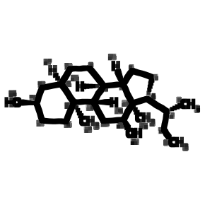 CC[C@@H](C)[C@H]1CC[C@H]2[C@@H]3CC[C@@H]4C[C@H](O)CC[C@]4(C)[C@H]3C[C@H](O)[C@]12C